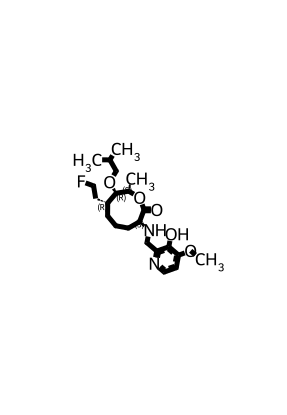 COc1ccnc(CN[C@H]2CCC[C@H](CCF)[C@@H](OCC(C)C)[C@H](C)OC2=O)c1O